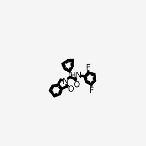 O=C(Nc1cc(F)ccc1F)[C@@H](c1ccccc1)N1Cc2ccccc2C1=O